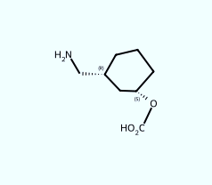 NC[C@@H]1CCC[C@H](OC(=O)O)C1